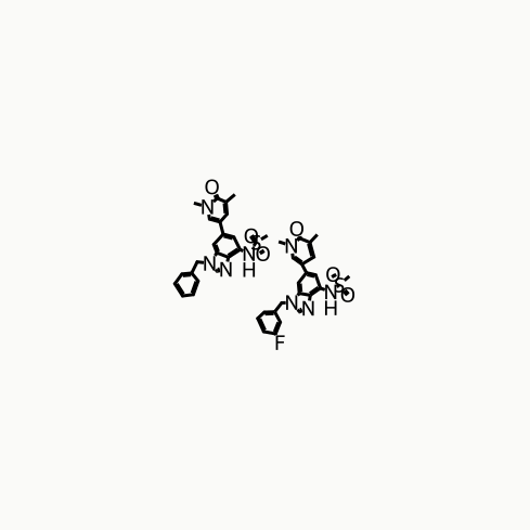 Cc1cc(-c2cc(NS(C)(=O)=O)c3ncn(Cc4cccc(F)c4)c3c2)cn(C)c1=O.Cc1cc(-c2cc(NS(C)(=O)=O)c3ncn(Cc4ccccc4)c3c2)cn(C)c1=O